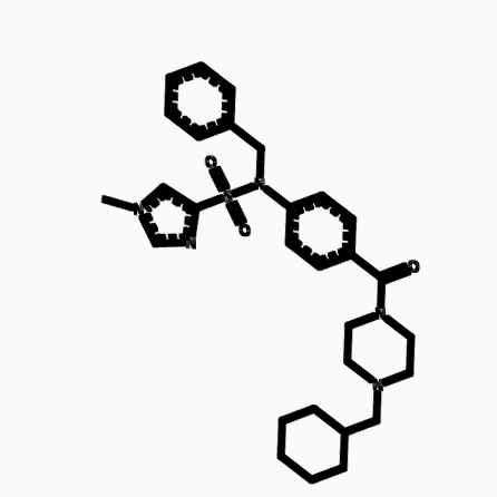 Cn1cnc(S(=O)(=O)N(Cc2ccccc2)c2ccc(C(=O)N3CCN(CC4CCCCC4)CC3)cc2)c1